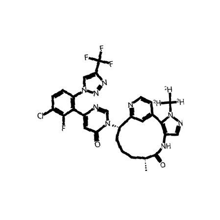 [2H]C([2H])([2H])n1ncc2c1-c1ccnc(c1)[C@@H](n1cnc(-c3c(-n4cc(C(F)(F)F)nn4)ccc(Cl)c3F)cc1=O)CCC[C@@H](C)C(=O)N2